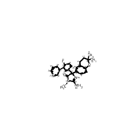 CN1C(=O)C(c2ccc3c(c2)CCC(C)(C)O3)(c2ccc(F)c(-c3cccnc3)c2)N=C1N